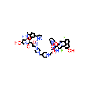 C#Cc1c(F)ccc2cc(O)cc(-c3ncc4c(N5CC6CCC(C5)N6C(=O)OC(C)(C)C)nc(OCCN5CCC(CN6CCN(c7cc([C@@H](C(=O)N8C[C@H](O)C[C@H]8C(=O)N[C@@H](C)c8ccc(-c9ccnn9C)cc8)C(C)C)on7)CC6)CC5)nc4c3F)c12